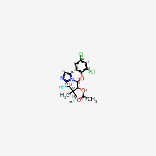 CC(=O)OC(C(Oc1ccc(Cl)cc1Cl)n1ccnc1)C(C)(CF)CF